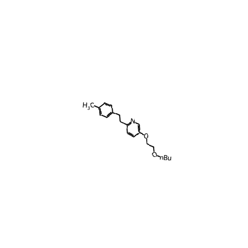 [CH2+][CH-]CCOCCOc1ccc(CCc2ccc(C)cc2)nc1